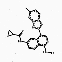 CCNc1ncc(-c2nc3ccc(C)cn3n2)c2cc(NC(=O)C3CC3)ncc12